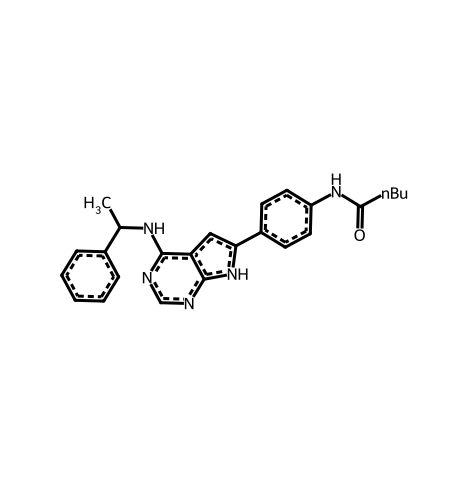 CCCCC(=O)Nc1ccc(-c2cc3c(NC(C)c4ccccc4)ncnc3[nH]2)cc1